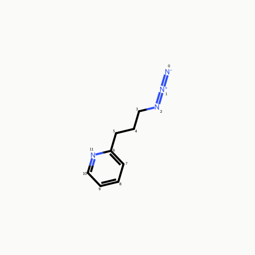 [N-]=[N+]=NCCCc1ccccn1